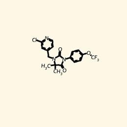 CC1(C)C(=O)N(c2ccc(OC(F)(F)F)cc2)C(=O)N1Cc1ccnc(Cl)c1